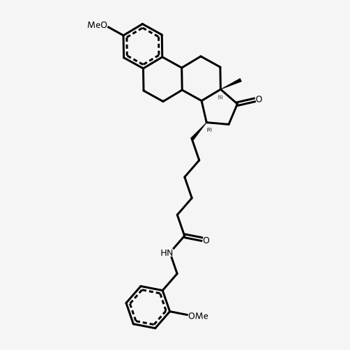 COc1ccc2c(c1)CCC1C2CC[C@]2(C)C(=O)C[C@@H](CCCCCC(=O)NCc3ccccc3OC)C12